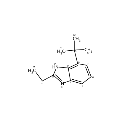 CCc1nc2cccc(C(C)(C)C)c2[nH]1